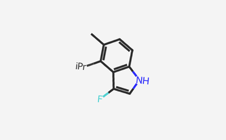 Cc1ccc2[nH]cc(F)c2c1C(C)C